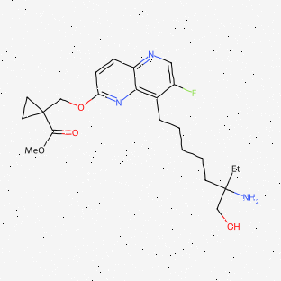 CCC(N)(CO)CCCCCc1c(F)cnc2ccc(OCC3(C(=O)OC)CC3)nc12